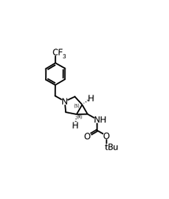 CC(C)(C)OC(=O)NC1[C@H]2CN(Cc3ccc(C(F)(F)F)cc3)C[C@@H]12